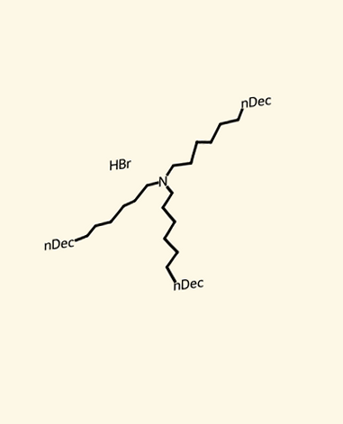 Br.CCCCCCCCCCCCCCCCN(CCCCCCCCCCCCCCCC)CCCCCCCCCCCCCCCC